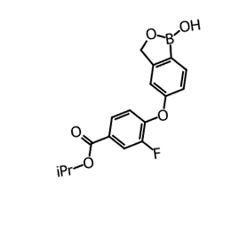 CC(C)OC(=O)c1ccc(Oc2ccc3c(c2)COB3O)c(F)c1